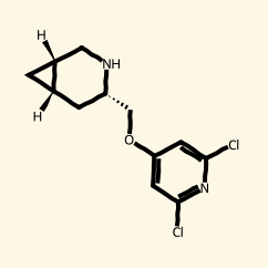 Clc1cc(OC[C@@H]2C[C@@H]3C[C@@H]3CN2)cc(Cl)n1